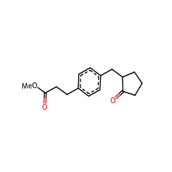 COC(=O)CCc1ccc(CC2CCCC2=O)cc1